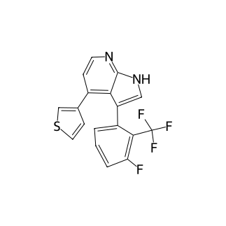 Fc1cccc(-c2c[nH]c3nccc(-c4ccsc4)c23)c1C(F)(F)F